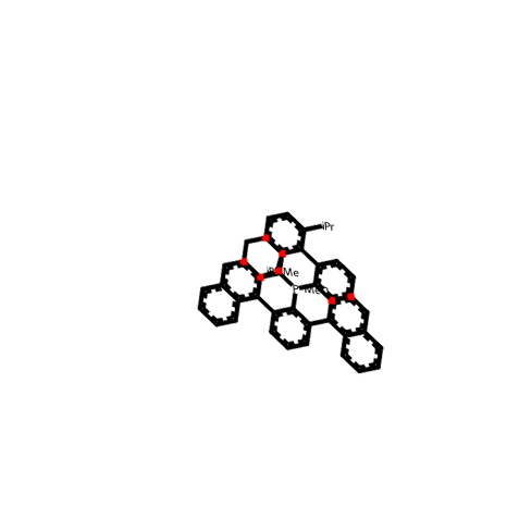 COc1ccc2ccccc2c1-c1cccc(-c2c(OC)ccc3ccccc23)c1P(c1ccccc1-c1c(C(C)C)cccc1C(C)C)C1CCCCC1